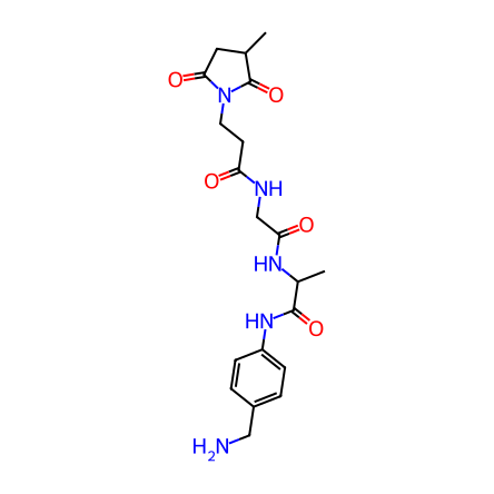 CC1CC(=O)N(CCC(=O)NCC(=O)NC(C)C(=O)Nc2ccc(CN)cc2)C1=O